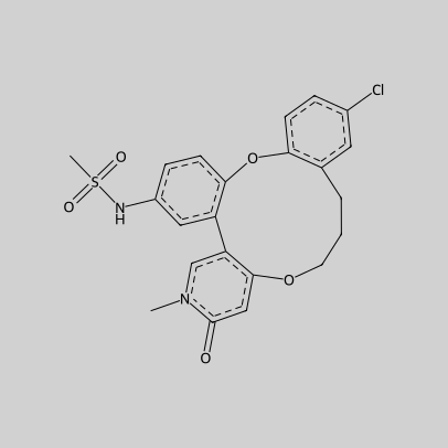 Cn1cc2c(cc1=O)OCCCc1cc(Cl)ccc1Oc1ccc(NS(C)(=O)=O)cc1-2